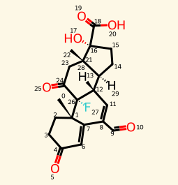 C[C@]12CCC(=O)C=C1C(C=O)=C[C@H]1[C@@H]3CC[C@](O)(C(=O)O)[C@@]3(C)CC(=O)[C@@]12F